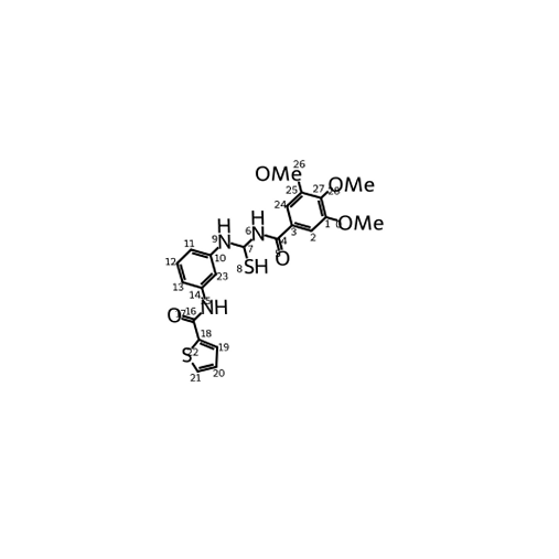 COc1cc(C(=O)NC(S)Nc2cccc(NC(=O)c3cccs3)c2)cc(OC)c1OC